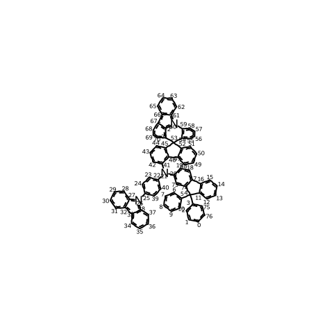 c1ccc(C2(c3ccccc3)c3ccccc3-c3ccc(N(c4ccc(-n5c6ccccc6c6ccccc65)cc4)c4cccc5c4-c4ccccc4C54c5ccccc5-n5c6ccccc6c6cccc4c65)cc32)cc1